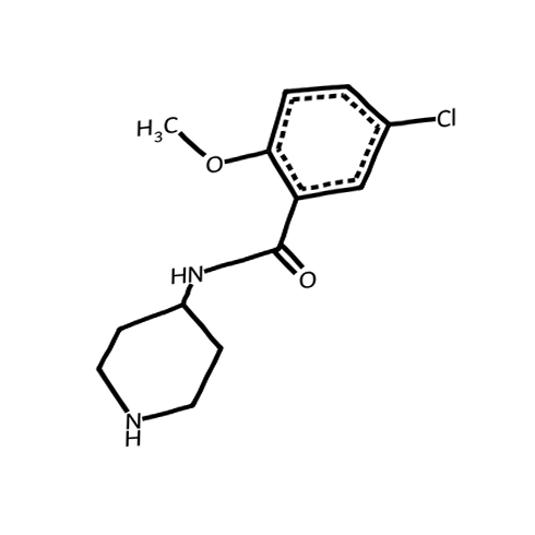 COc1ccc(Cl)cc1C(=O)NC1CCNCC1